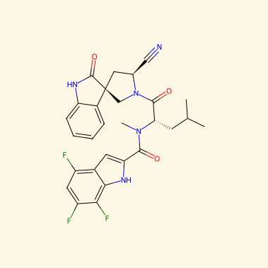 CC(C)C[C@@H](C(=O)N1C[C@]2(C[C@H]1C#N)C(=O)Nc1ccccc12)N(C)C(=O)c1cc2c(F)cc(F)c(F)c2[nH]1